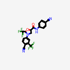 N#Cc1ccc(NC(=O)C2CN(c3ccc(C#N)c(C(F)(F)F)c3)C(C(F)(F)F)O2)cc1